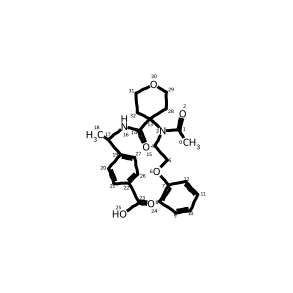 CC(=O)N(CCOc1ccccc1)C1(C(=O)NC(C)c2ccc(C(=O)O)cc2)CCOCC1